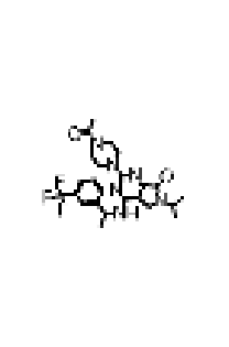 CC(=O)N1CCN(c2nc(NC(C)c3cccc(C(F)(F)F)c3)c3c(n2)C(=O)N(C(C)C)C3)CC1